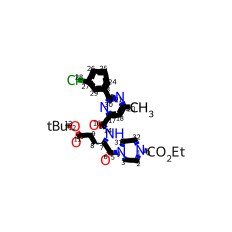 CCOC(=O)N1CCN(C(=O)[C@H](CCC(=O)OC(C)(C)C)NC(=O)c2cc(C)nc(-c3cccc(Cl)c3)n2)CC1